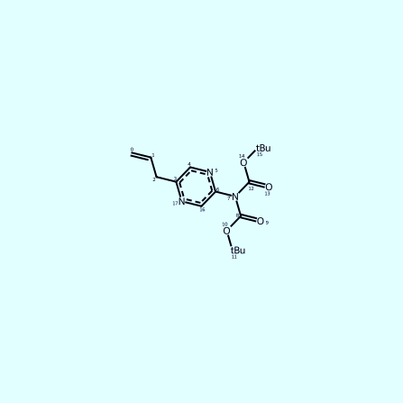 C=CCc1cnc(N(C(=O)OC(C)(C)C)C(=O)OC(C)(C)C)cn1